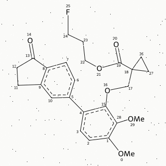 COc1ccc(-c2ccc3c(c2)CCC3=O)c(OCC2(C(=O)OCCCF)CC2)c1OC